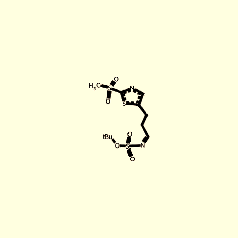 CC(C)(C)OS(=O)(=O)/N=C\CCc1cnc(S(C)(=O)=O)s1